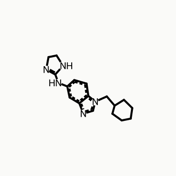 c1cc2c(cc1NC1=NCCN1)ncn2CC1CCCCC1